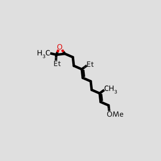 CC/C(=C\CC/C(C)=C/COC)CCC1OC1(C)CC